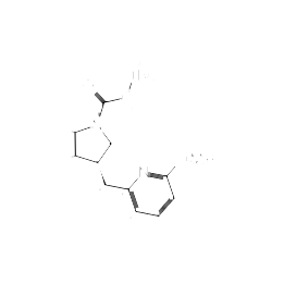 COc1cccc(C[C@H]2CCN(C(=O)OC(C)(C)C)C2)n1